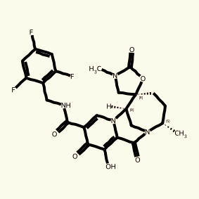 C[C@H]1CC[C@@]2(CN(C)C(=O)O2)[C@H]2CN1C(=O)c1c(O)c(=O)c(C(=O)NCc3c(F)cc(F)cc3F)cn12